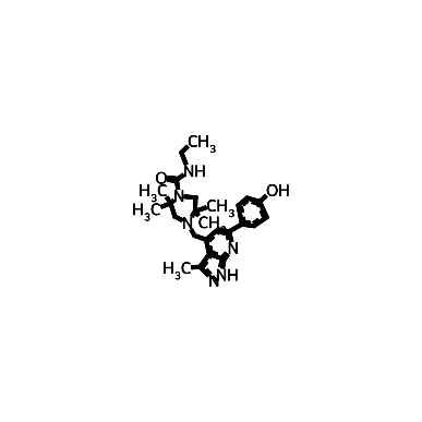 CCNC(=O)N1CC(C)(C)N(Cc2cc(-c3ccc(O)cc3)nc3[nH]nc(C)c23)CC1(C)C